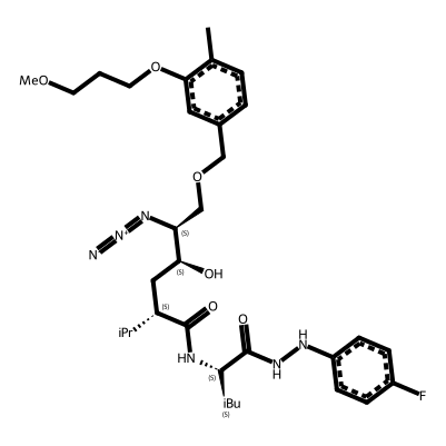 CC[C@H](C)[C@H](NC(=O)[C@@H](C[C@H](O)[C@H](COCc1ccc(C)c(OCCCOC)c1)N=[N+]=[N-])C(C)C)C(=O)NNc1ccc(F)cc1